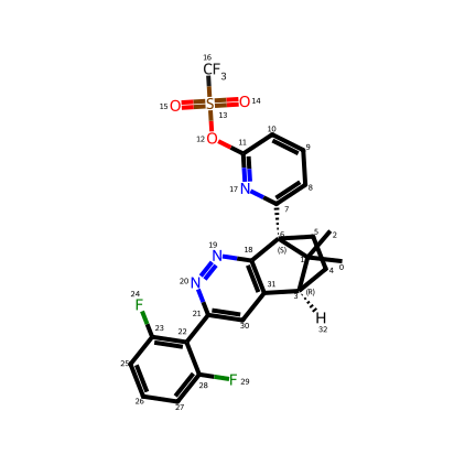 CC1(C)[C@H]2CC[C@]1(c1cccc(OS(=O)(=O)C(F)(F)F)n1)c1nnc(-c3c(F)cccc3F)cc12